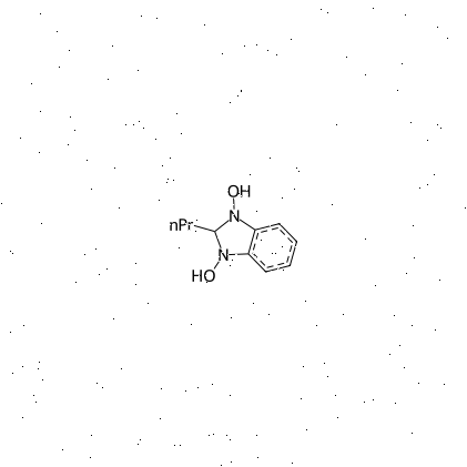 CCCC1N(O)c2ccccc2N1O